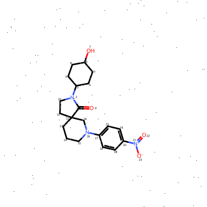 O=C1N(C2CCC(O)CC2)CCC12CCCN(c1ccc([N+](=O)[O-])cc1)C2